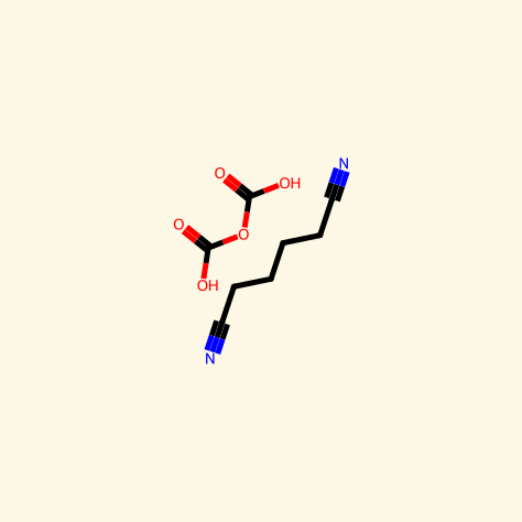 N#CCCCCC#N.O=C(O)OC(=O)O